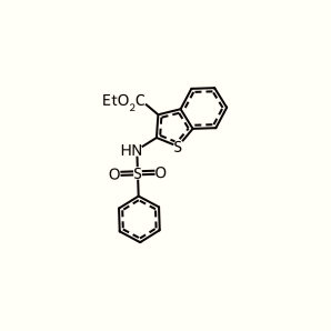 CCOC(=O)c1c(NS(=O)(=O)c2ccccc2)sc2ccccc12